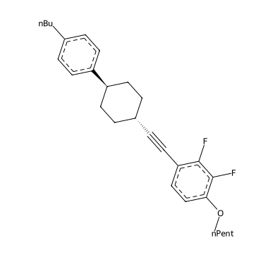 CCCCCOc1ccc(C#C[C@H]2CC[C@H](c3ccc(CCCC)cc3)CC2)c(F)c1F